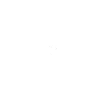 CC(C)(C)C1CCc2c(c(C=O)nn2-c2ccccc2)C1